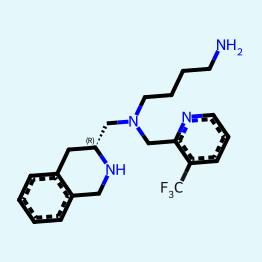 NCCCCN(Cc1ncccc1C(F)(F)F)C[C@H]1Cc2ccccc2CN1